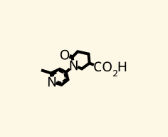 Cc1cc(N2CC(C(=O)O)CCC2=O)ccn1